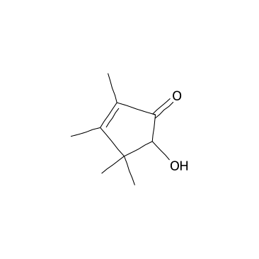 CC1=C(C)C(C)(C)C(O)C1=O